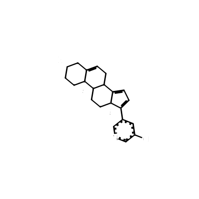 C[C@]12CCC3C(CC=C4C[C@@H](O)CC[C@@]43C)C1=CC=C2c1cncc(Cl)c1